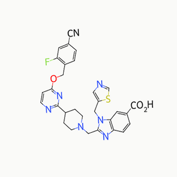 N#Cc1ccc(COc2ccnc(C3CCN(Cc4nc5ccc(C(=O)O)cc5n4Cc4cncs4)CC3)n2)c(F)c1